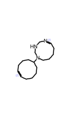 C1=C\CCCC(N2CCCC/C=N\CNC2)CCCC/1